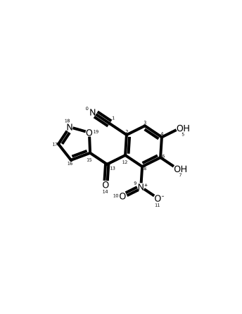 N#Cc1cc(O)c(O)c([N+](=O)[O-])c1C(=O)c1ccno1